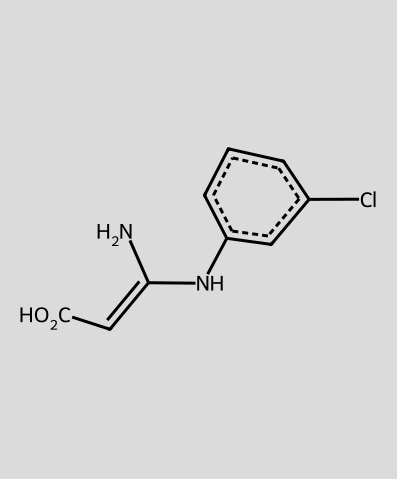 NC(=CC(=O)O)Nc1cccc(Cl)c1